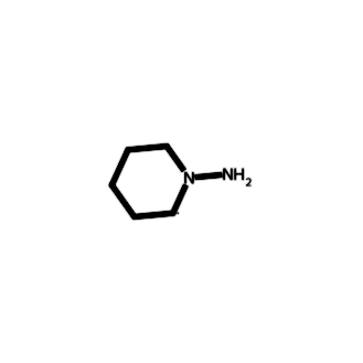 NN1[CH]CCCC1